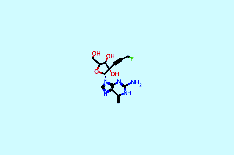 C=C1NC(N)=Nc2c1ncn2[C@@H]1OC(CO)C(O)[C@]1(O)C#CCF